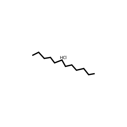 CCCCCCCCCCCC.Cl